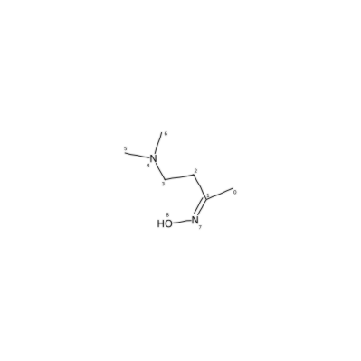 CC(CCN(C)C)=NO